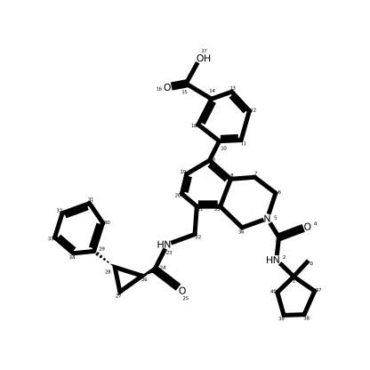 CC1(NC(=O)N2CCc3c(-c4cccc(C(=O)O)c4)ccc(CNC(=O)[C@H]4C[C@@H]4c4ccccc4)c3C2)CCCC1